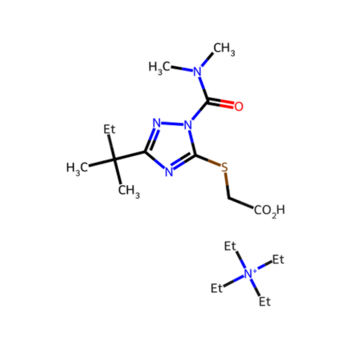 CCC(C)(C)c1nc(SCC(=O)O)n(C(=O)N(C)C)n1.CC[N+](CC)(CC)CC